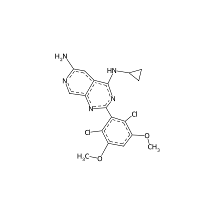 COc1cc(OC)c(Cl)c(-c2nc(NC3CC3)c3cc(N)ncc3n2)c1Cl